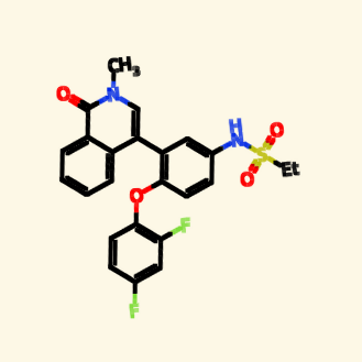 CCS(=O)(=O)Nc1ccc(Oc2ccc(F)cc2F)c(-c2cn(C)c(=O)c3ccccc23)c1